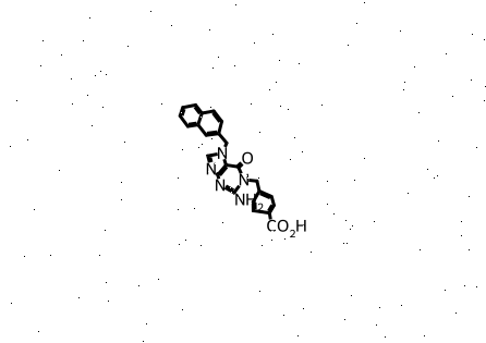 Nc1nc2ncn(Cc3ccc4ccccc4c3)c2c(=O)n1Cc1ccc(C(=O)O)cc1